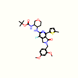 COc1ccc(CN2Cc3c(F)c(NC4CCOCC4NC(=O)OC(C)(C)C)nc(-c4ccc(C)s4)c3C2=O)c(OC)c1